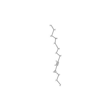 CC[CH]OC#CCCCCCCCC